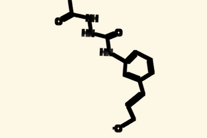 CC(=O)NNC(=O)Nc1cccc(C=CC[O])c1